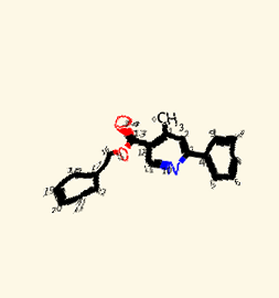 Cc1cc(-c2ccccc2)ncc1C(=O)OCc1ccccc1